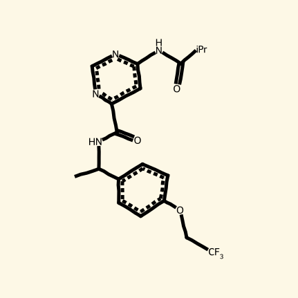 CC(C)C(=O)Nc1cc(C(=O)NC(C)c2ccc(OCC(F)(F)F)cc2)ncn1